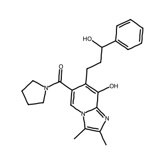 Cc1nc2c(O)c(CCC(O)c3ccccc3)c(C(=O)N3CCCC3)cn2c1C